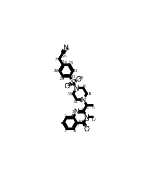 CC(c1nc2ccccc2c(=O)n1C)N1CCN(S(=O)(=O)c2ccc(CC#N)cc2)CC1